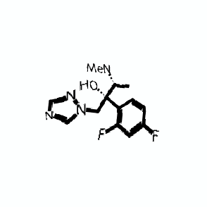 CN[C@H](C)[C@](O)(Cn1cncn1)c1ccc(F)cc1F